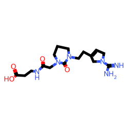 N=C(N)N1CC=C(CCN2CCCN(CC(=O)NCCC(=O)O)C2=O)C1